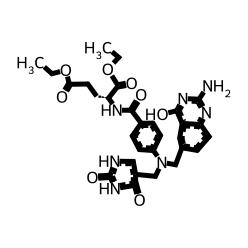 CCOC(=O)CC[C@@H](NC(=O)c1ccc(N(Cc2ccc3nc(N)nc(O)c3c2)Cc2c[nH]c(=O)[nH]c2=O)cc1)C(=O)OCC